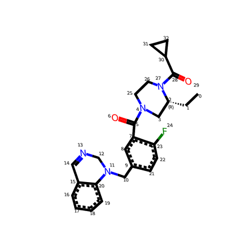 CC[C@@H]1CN(C(=O)c2cc(CN3CN=Cc4ccccc43)ccc2F)CCN1C(=O)C1CC1